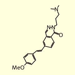 COc1ccc(C=Cc2ccc3c(=O)n(CCCN(C)C)ncc3c2)cc1